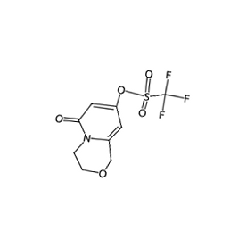 O=c1cc(OS(=O)(=O)C(F)(F)F)cc2n1CCOC2